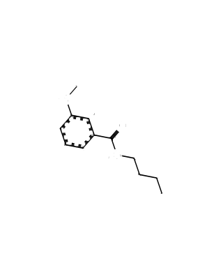 CCCCOC(=O)c1cccc(SC)c1